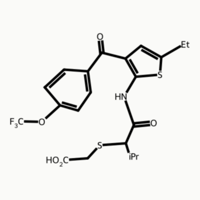 CCc1cc(C(=O)c2ccc(OC(F)(F)F)cc2)c(NC(=O)C(SCC(=O)O)C(C)C)s1